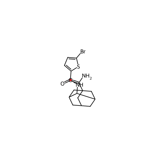 NC(=O)C12CC3CC(C1)C(NC(=O)c1ccc(Br)s1)C(C3)C2